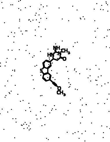 COC#Cc1ccc2sc3ccc(C4CC(=O)N(C)C(=N)N4)cc3c2c1